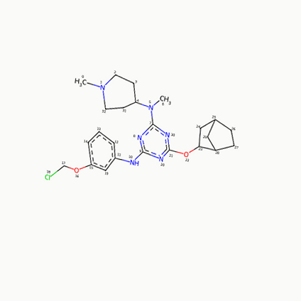 CN1CCC(N(C)c2nc(Nc3cccc(OCCl)c3)nc(OC3CC4CCC3C4)n2)CC1